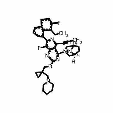 CC#Cc1nc(-c2cccc3ccc(F)c(CC)c23)c(F)c2nc(OCC3(CN4CCCCC4)CC3)nc(N3C[C@H]4CC[C@@H](C3)N4)c12